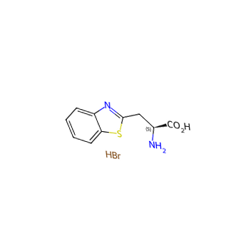 Br.N[C@@H](Cc1nc2ccccc2s1)C(=O)O